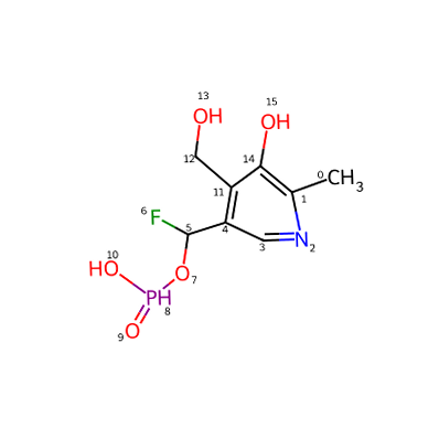 Cc1ncc(C(F)O[PH](=O)O)c(CO)c1O